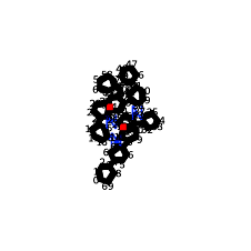 c1ccc(-c2ccc3c4ccccc4n(-c4cccc5c6ccccc6n(-c6ccc7c8ccccc8n(-c8cccc([Si](c9ccccc9)(c9ccccc9)c9ccccc9)c8)c7c6)c45)c3c2)cc1